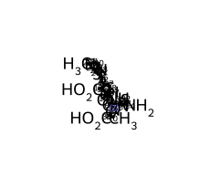 C[C@H](O/N=C(\C(=O)NC1C(=O)N2C(C(=O)O)=C(CSC3N=C4C=CN(C)C=C4S3)CS[C@H]12)c1csc(N)n1)C(=O)O